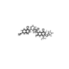 CC(C)n1c(=O)n(C[C@@H]2CCCO2)c(=O)c2cc(NC(=O)N3CCC[C@@H](n4cnc5cc(C#N)ccc5c4=O)C3)c(F)cc21